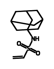 C=CS(=O)(=O)NC12CC3CC(CC(C3)C1)C2